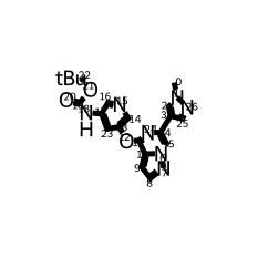 Cn1cc(-c2cn3nccc3c(Oc3cncc(NC(=O)OC(C)(C)C)c3)n2)cn1